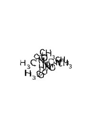 CCc1cccc(CC)c1NC(=O)c1nn(Cc2ccc(OC)cc2)c2c1CCC/C(=C\N(C)C)C2=O